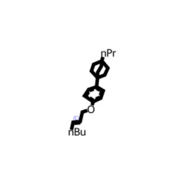 CCCC/C=C/COc1ccc(C23CCC(CCC)(CC2)CC3)cc1